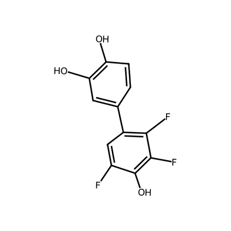 Oc1ccc(-c2cc(F)c(O)c(F)c2F)cc1O